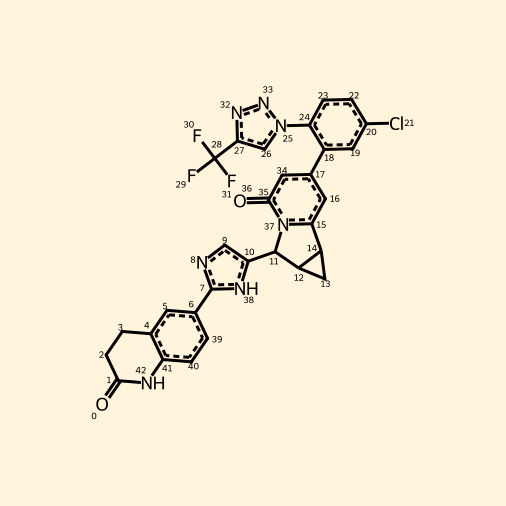 O=C1CCc2cc(-c3ncc(C4C5CC5c5cc(-c6cc(Cl)ccc6-n6cc(C(F)(F)F)nn6)cc(=O)n54)[nH]3)ccc2N1